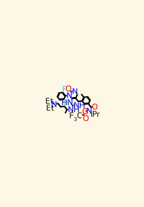 CCN(CC)CCCC(C)NC1Nc2c(cnc(=O)n2-c2c(F)cccc2F)C(c2cc(C(=O)N(OC(=O)C(F)(F)F)C(C)C)ccc2C)N1